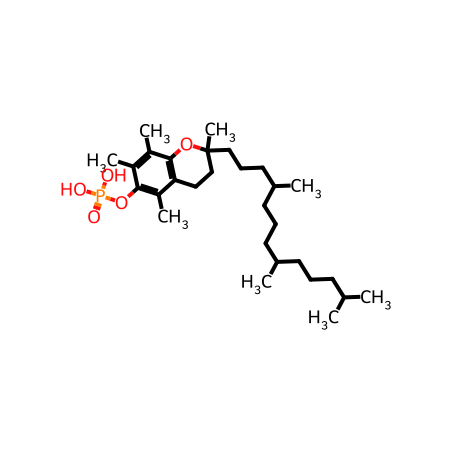 Cc1c(C)c2c(c(C)c1OP(=O)(O)O)CCC(C)(CCCC(C)CCCC(C)CCCC(C)C)O2